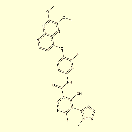 COc1cc2nccc(Oc3ccc(NC(=O)c4cnc(C)c(-c5ccnn5C)c4O)cc3F)c2nc1OC